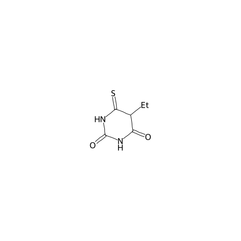 CCC1C(=O)NC(=O)NC1=S